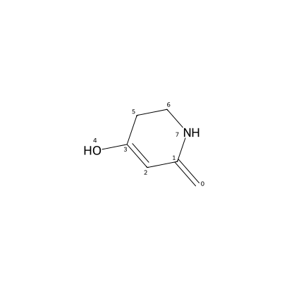 C=C1C=C(O)CCN1